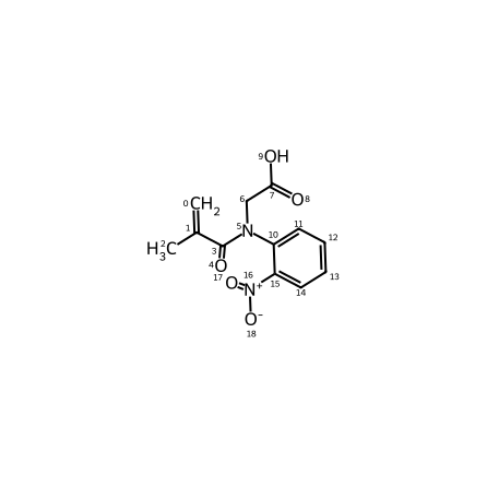 C=C(C)C(=O)N(CC(=O)O)c1ccccc1[N+](=O)[O-]